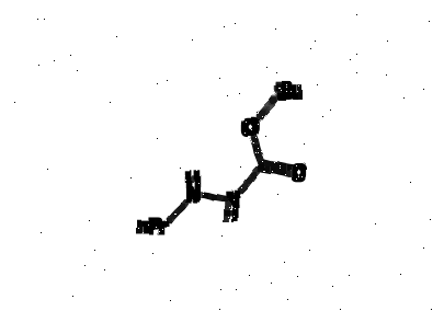 CCCNNC(=O)OC(C)(C)C